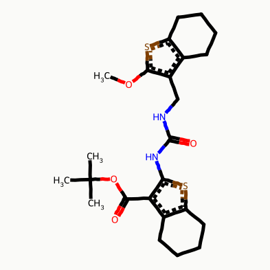 COc1sc2c(c1CNC(=O)Nc1sc3c(c1C(=O)OC(C)(C)C)CCCC3)CCCC2